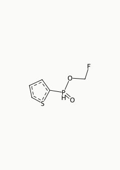 O=[PH](OCF)c1cccs1